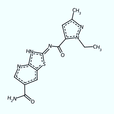 CCn1nc(C)cc1C(=O)N=c1[nH]c2ncc(C(N)=O)cc2s1